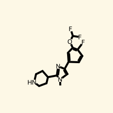 Cn1cc(-c2ccc(F)c(OC(F)F)c2)nc1C1CCNCC1